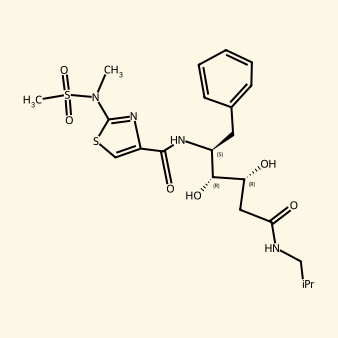 CC(C)CNC(=O)C[C@@H](O)[C@H](O)[C@H](Cc1ccccc1)NC(=O)c1csc(N(C)S(C)(=O)=O)n1